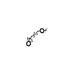 Fc1ccc(CSSSCc2nc3ccccc3s2)cc1